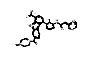 Cc1c(NC(=O)Cc2cnccn2)cccc1-c1ccc(C(N)=O)c2[nH]c3cc(C(=O)N4CCN(C)CC4)ccc3c12